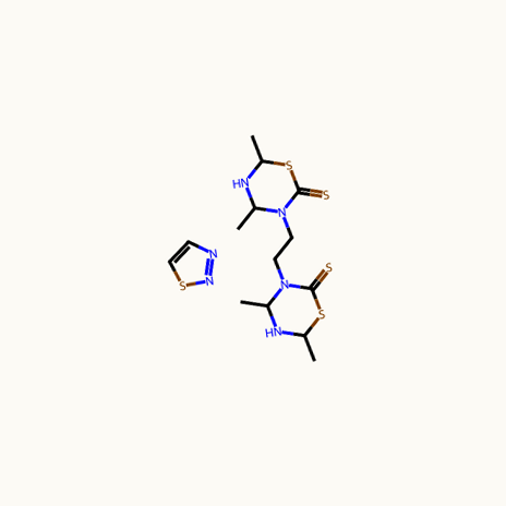 CC1NC(C)N(CCN2C(=S)SC(C)NC2C)C(=S)S1.c1csnn1